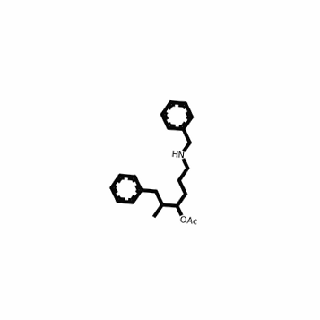 CC(=O)OC(CCCNCc1ccccc1)C(C)Cc1ccccc1